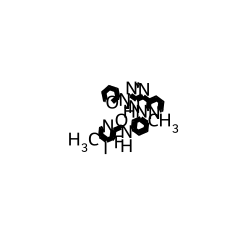 Cc1ccc(NC(=O)c2ncc(C)c(I)c2F)cc1Nc1ncccc1-c1ncnc2c1ncn2C1CCCCO1